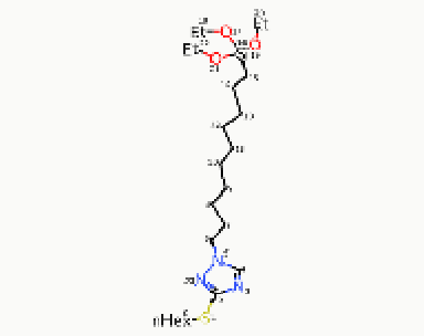 CCCCCCSc1ncn(CCCCCCCCCC[Si](OCC)(OCC)OCC)n1